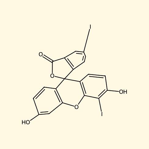 O=C1OC2(c3ccc(O)cc3Oc3c2ccc(O)c3I)c2ccc(I)cc21